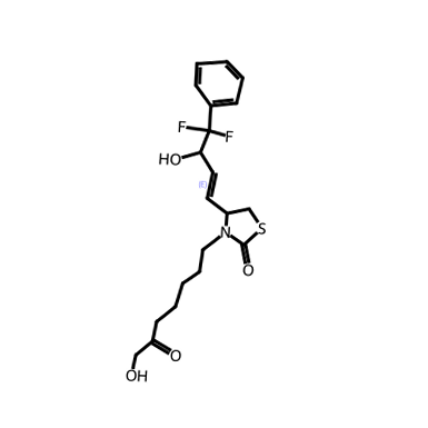 O=C(CO)CCCCCN1C(=O)SCC1/C=C/C(O)C(F)(F)c1ccccc1